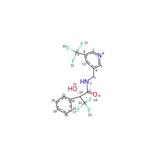 O=C(NCc1cncc(C(F)(F)F)c1)[C@](O)(c1ccccc1)C(F)(F)F